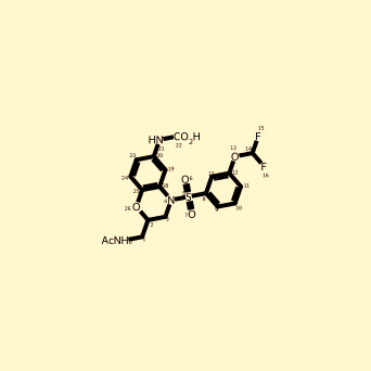 CC(=O)NCC1CN(S(=O)(=O)c2cccc(OC(F)F)c2)c2cc(NC(=O)O)ccc2O1